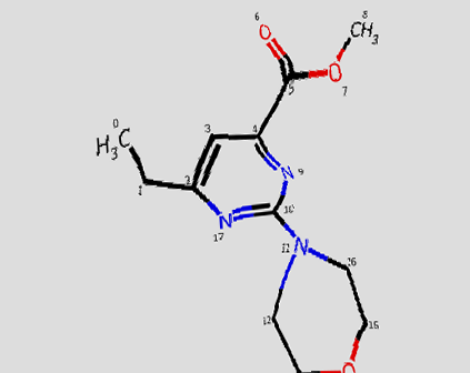 CCc1cc(C(=O)OC)nc(N2CCOCC2)n1